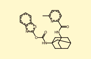 Cc1cccc(C(=O)NC23CC4CC(CC(NC(=O)Oc5nc6ccccc6s5)(C4)C2)C3)n1